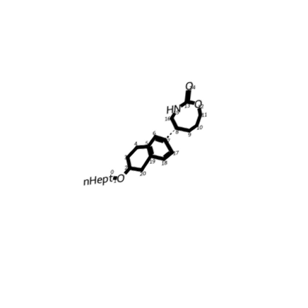 CCCCCCCOC1CCc2cc([C@H]3CCCOC(=O)NC3)ccc2C1